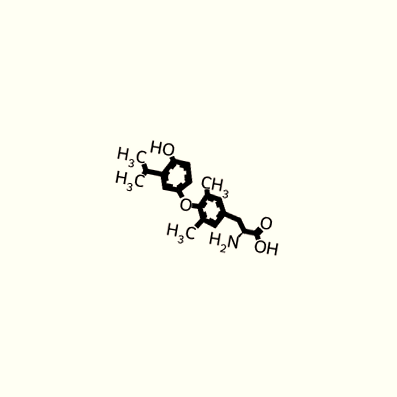 Cc1cc(C[C@@H](N)C(=O)O)cc(C)c1Oc1ccc(O)c(C(C)C)c1